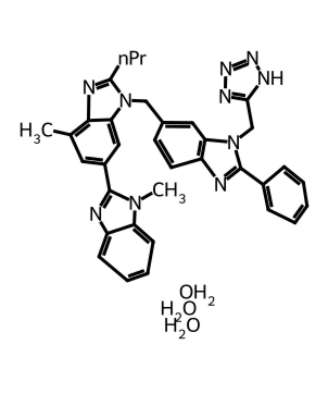 CCCc1nc2c(C)cc(-c3nc4ccccc4n3C)cc2n1Cc1ccc2nc(-c3ccccc3)n(Cc3nnn[nH]3)c2c1.O.O.O